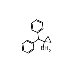 BC1(C(c2ccccc2)c2ccccc2)CC1